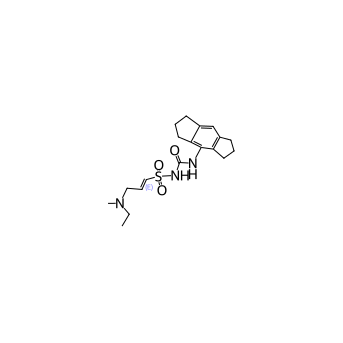 CCN(C)C/C=C/S(=O)(=O)NC(=O)Nc1c2c(cc3c1CCC3)CCC2